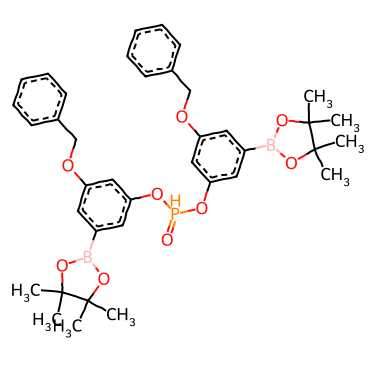 CC1(C)OB(c2cc(OCc3ccccc3)cc(O[PH](=O)Oc3cc(OCc4ccccc4)cc(B4OC(C)(C)C(C)(C)O4)c3)c2)OC1(C)C